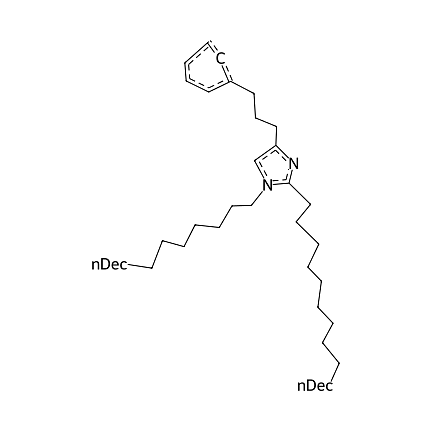 CCCCCCCCCCCCCCCCCCCc1nc(CCCc2ccccc2)cn1CCCCCCCCCCCCCCCCC